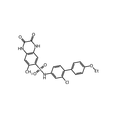 CCOc1ccc(-c2ccc(NS(=O)(=O)c3cc4[nH]c(=O)c(=O)[nH]c4cc3C)cc2Cl)cc1